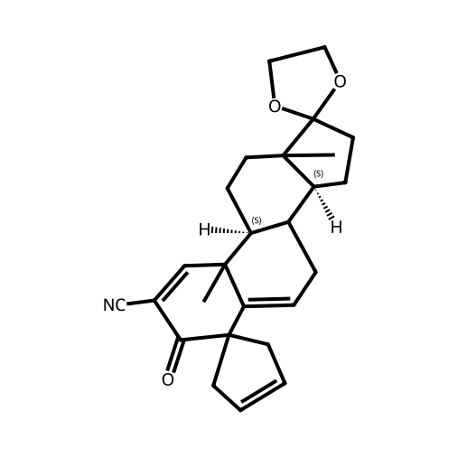 CC12C=C(C#N)C(=O)C3(CC=CC3)C1=CCC1[C@@H]2CCC2(C)[C@H]1CCC21OCCO1